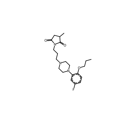 CCCOc1ccc(F)cc1N1CCN(CCCN2C(=O)CC(C)C2=O)CC1